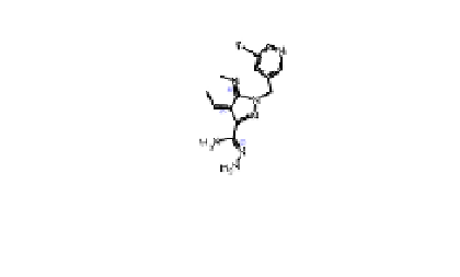 C/C=C1/C(/C(N)=N/N)=NN(Cc2cncc(F)c2)/C1=N/C